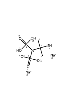 CC(C)(S)C(P(=O)([O-])[O-])P(=O)(O)O.[Na+].[Na+]